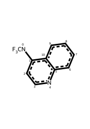 FC(F)(F)Nc1ccnc2ccccc12